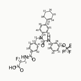 O=C(NCC(F)C(=O)O)c1ccc(CN(C(=O)Nc2cccc(OC(F)(F)F)c2)c2ccc(C3=CCCCC3)cc2)cc1